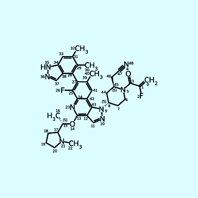 C=C(F)C(=O)N1CC[C@H](n2ncc3c(O[C@@H](C)C4CCCN4C)nc4c(F)c(-c5c(C)c(C)cc6[nH]ncc56)c(C)cc4c32)C[C@H]1CC#N